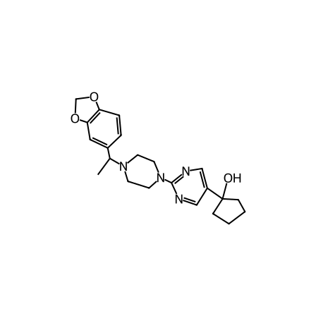 CC(c1ccc2c(c1)OCO2)N1CCN(c2ncc(C3(O)CCCC3)cn2)CC1